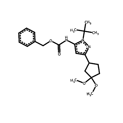 COC1(OC)CCC(c2cc(NC(=O)OCc3ccccc3)n(C(C)(C)C)n2)C1